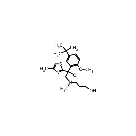 COc1ccc(C(C)(C)C)cc1C(O)(CN(C)CCCO)c1nc(C)cs1